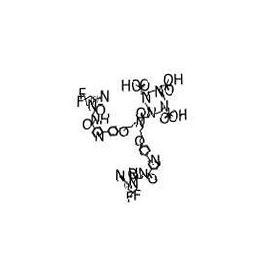 N#C[C@@H]1CC(F)(F)CN1C(=O)CNC(=O)c1ccnc(-c2ccc(OCCCN(CCCOc3ccc(-c4cc(C(=O)NCC(=O)N5CC(F)(F)C[C@H]5C#N)ccn4)cc3)C(=O)CN3CCN(CC(=O)O)CCN(CC(=O)O)CCN(CC(=O)O)CC3)cc2)c1